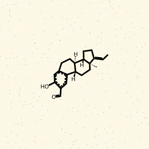 CC=C1CC[C@H]2[C@@H]3CCc4cc(O)c(C=O)cc4[C@H]3CC[C@]12C